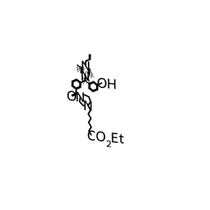 C=CCN1C[C@H](C)N([C@@H](c2cccc(O)c2)c2cccc(C(=O)N3CCCN(CCCCCCC(=O)OCC)CC3)c2)C[C@H]1C